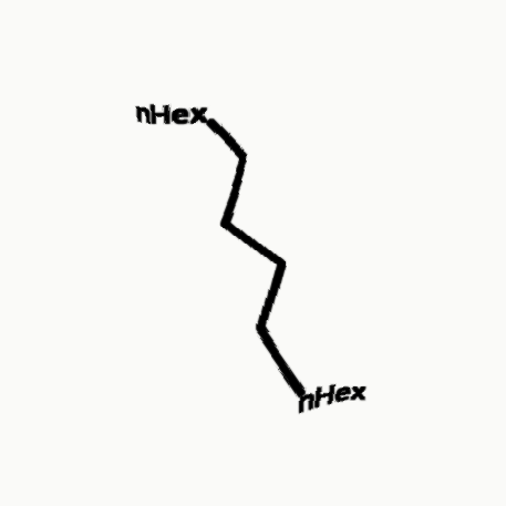 [CH2]C[CH]CCCCCCCCCCCC[CH2]